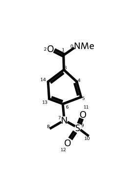 CNC(=O)c1ccc(N(C)S(C)(=O)=O)cc1